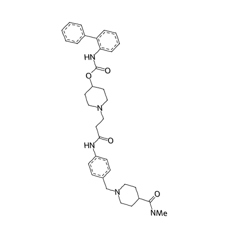 CNC(=O)C1CCN(Cc2ccc(NC(=O)CCN3CCC(OC(=O)Nc4ccccc4-c4ccccc4)CC3)cc2)CC1